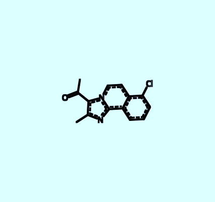 CC(=O)c1c(C)nc2c3cccc(Cl)c3ccn12